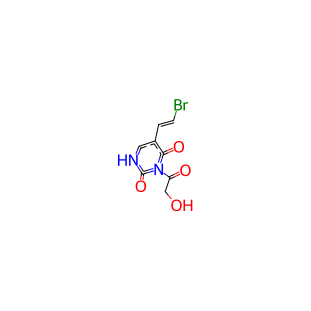 O=C(CO)n1c(=O)[nH]cc(/C=C/Br)c1=O